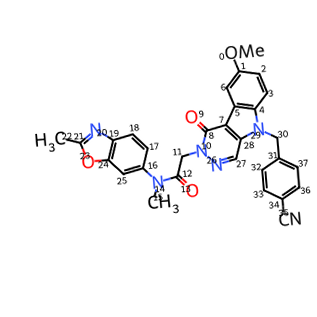 COc1ccc2c(c1)c1c(=O)n(CC(=O)N(C)c3ccc4nc(C)oc4c3)ncc1n2Cc1ccc(C#N)cc1